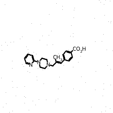 C/C(=C\c1ccc(C(=O)O)cc1)CN1CCN(c2ccccn2)CC1